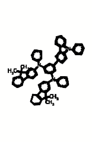 CC1(C)C2=C(CCC=C2)c2ccc(N(c3ccccc3)c3cc(-c4ccc5c(c4)c4ccccc4n5-c4ccccc4)cc(N(c4ccccc4)c4ccc5c(c4)C(C)(C)c4ccccc4-5)c3)cc21